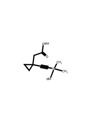 COC(=O)CC1(C#C[Si](C)(C)C(C)(C)C)CC1